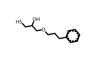 OC(CS)COCCCc1ccccc1